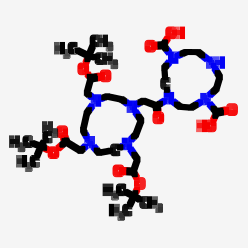 CC(C)(C)OC(=O)CN1CCN(CC(=O)OC(C)(C)C)CCN(CC(=O)N2CCN(C(=O)O)CCNCCN(C(=O)O)CC2)CCN(CC(=O)OC(C)(C)C)CC1